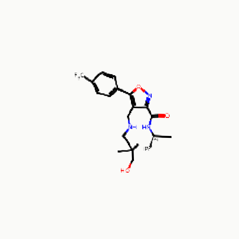 CC(C)[C@H](C)NC(=O)c1noc(-c2ccc(C(F)(F)F)cc2)c1CNCC(C)(C)CO